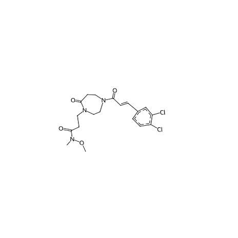 CON(C)C(=O)CCN1CCN(C(=O)/C=C/c2ccc(Cl)c(Cl)c2)CCC1=O